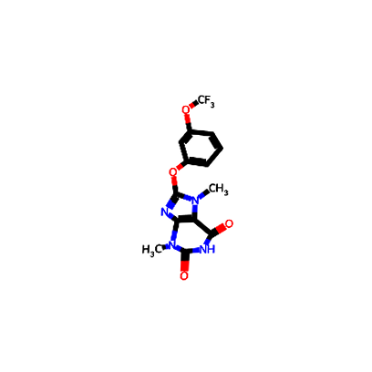 Cn1c(Oc2cccc(OC(F)(F)F)c2)nc2c1c(=O)[nH]c(=O)n2C